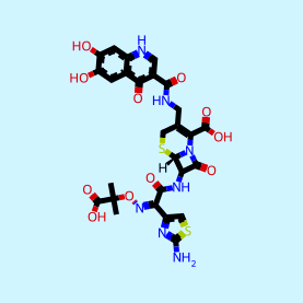 CC(C)(O/N=C(\C(=O)NC1C(=O)N2C(C(=O)O)=C(CNC(=O)c3c[nH]c4cc(O)c(O)cc4c3=O)CS[C@@H]12)c1csc(N)n1)C(=O)O